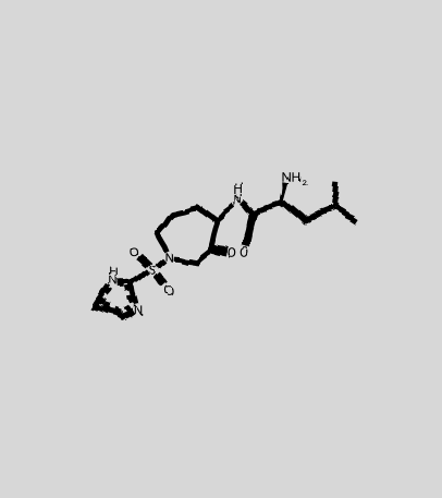 CC(C)C[C@H](N)C(=O)NC1CCCN(S(=O)(=O)c2ncc[nH]2)CC1=O